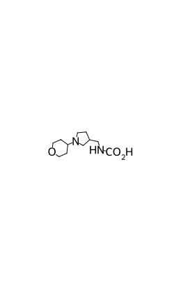 O=C(O)NCC1CCN(C2CCOCC2)C1